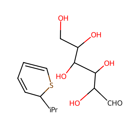 CC(C)C1C=CC=CS1.O=CC(O)C(O)C(O)C(O)CO